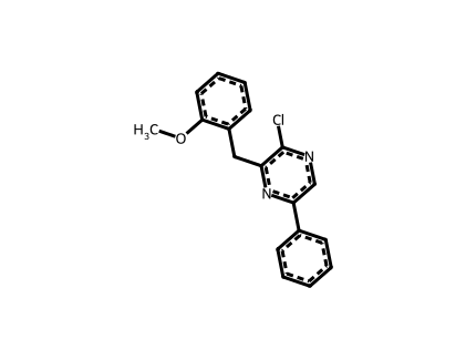 COc1ccccc1Cc1nc(-c2ccccc2)cnc1Cl